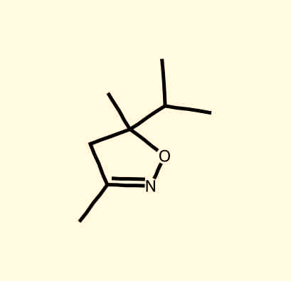 CC1=NOC(C)(C(C)C)C1